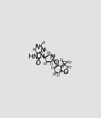 Cc1ncc2[nH]c(=O)n(-c3ccc(Oc4cccc5c4C4(CC4)CO5)nc3)c2n1